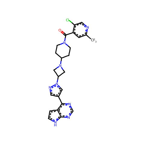 O=C(c1cc(C(F)(F)F)ncc1Cl)N1CCC(N2C[C](n3cc(-c4ncnc5[nH]ccc45)cn3)C2)CC1